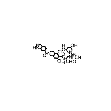 N#C/N=C(\NC[C@@H](C=O)NC(=O)c1c(Cl)cc2c(c1Cl)CCN(C(=O)c1ccc3cn[nH]c3c1)C2)N1C[C@H](O)C[C@@H](O)C1